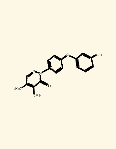 COc1cnn(-c2ccc(Oc3cccc(C(F)(F)F)c3)cc2)c(=O)c1OC